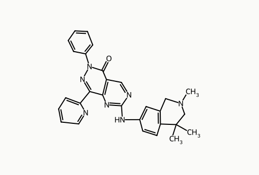 CN1Cc2cc(Nc3ncc4c(=O)n(-c5ccccc5)nc(-c5ccccn5)c4n3)ccc2C(C)(C)C1